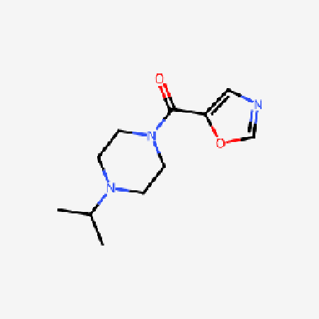 CC(C)N1CCN(C(=O)c2cnco2)CC1